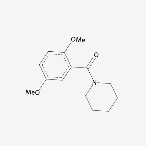 COc1ccc(OC)c(C(=O)N2CCCCC2)c1